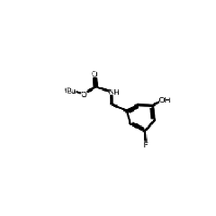 CC(C)(C)OC(=O)NCc1cc(O)cc(F)c1